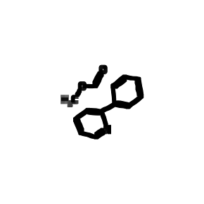 COC=O.c1ccc(-c2ccccn2)cc1